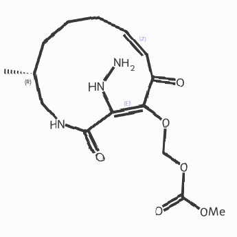 COC(=O)OCO/C1=C(/NN)C(=O)NC[C@H](C)CCC/C=C\C1=O